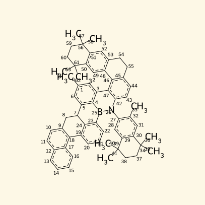 Cc1cc2c3c(c1)C1Cc4ccc5ccccc5c4-c4cccc(c41)B3N(c1cc3c(cc1C)C(C)(C)CCC3(C)C)c1ccc3c(c1-2)-c1cc2c(cc1CC3)C(C)(C)CCC2(C)C